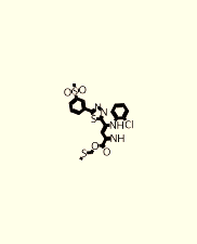 CSCOC(=O)C(=N)/C=C(\Nc1ccccc1Cl)c1nnc(-c2cccc(S(C)(=O)=O)c2)s1